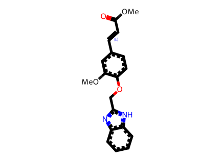 COC(=O)/C=C/c1ccc(OCc2nc3ccccc3[nH]2)c(OC)c1